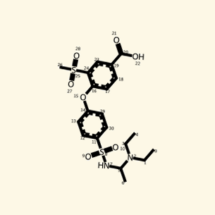 CCN(CC)C(C)NS(=O)(=O)c1ccc(Oc2ccc(C(=O)O)cc2S(C)(=O)=O)cc1